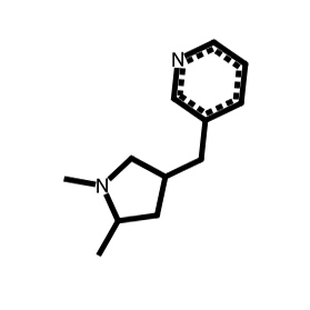 CC1CC(Cc2cccnc2)CN1C